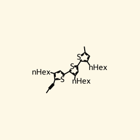 CC#Cc1sc(-c2sc(-c3sc(C)cc3CCCCCC)cc2CCCCCC)cc1CCCCCC